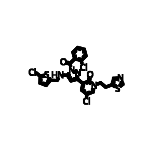 O=C(c1ccccc1Cl)n1nc(-c2cc(Cl)cn(CCc3cncs3)c2=O)cc1NCc1ccc(Cl)s1